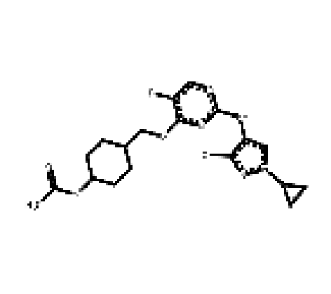 CC(=O)NC1CCC(COc2nc(Nc3cn(C4CC4)nc3Cl)ncc2F)CC1